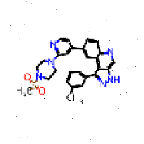 Cc1cccc(-c2n[nH]c3cnc4ccc(-c5ccnc(N6CCN(S(C)(=O)=O)CC6)c5)cc4c23)c1